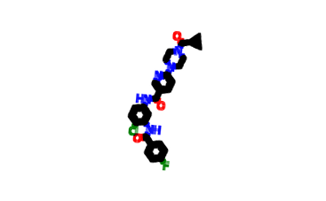 O=C(Nc1ccc(Cl)c(NC(=O)c2ccc(F)cc2)c1)c1ccc(N2CCN(C(=O)C3CC3)CC2)nc1